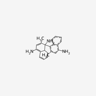 CC1=CC(N)=C2C=CC=CC2C1(N)c1c(C)cc(N)c2ccccc12